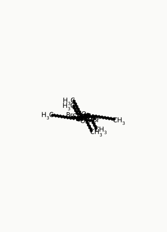 CCCCCCCCCCCCCCc1cc(-c2ccc3c(c2)N(CC(CCCCCCCC)CCCCCCCCCC)/C(=C2\C(=O)c4ccc(-c5cc(CCCCCCCCCCCCCC)c(Br)s5)cc4N2CC(CCCCCCCC)CCCCCCCCCC)C3=O)sc1Br